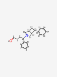 O=CCCC(c1ccccc1)N1CC2CC(c3ccccc3)C2C1